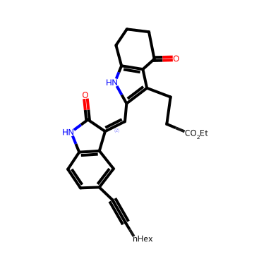 CCCCCCC#Cc1ccc2c(c1)/C(=C/c1[nH]c3c(c1CCC(=O)OCC)C(=O)CCC3)C(=O)N2